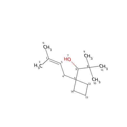 CC(C)=CCC1(C(O)C(C)(C)C)CCC1